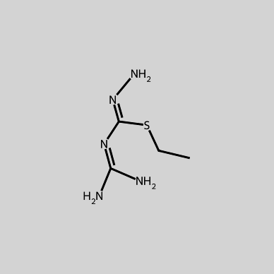 CCS/C(N=C(N)N)=N\N